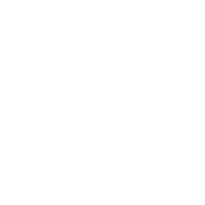 Cc1cc([S+]([O-])c2ccc([N+](=O)[O-])cc2)cc(C(=O)O)c1O